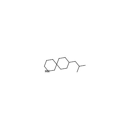 CC(C)CC1CCC2(CCCNC2)CC1